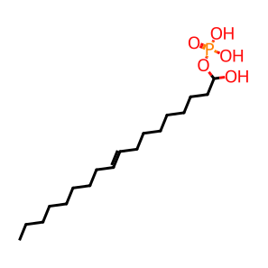 CCCCCCCCC=CCCCCCCCC(O)OP(=O)(O)O